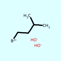 [B+2]CCC(C)C.[OH-].[OH-]